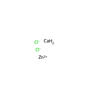 [CaH2].[Cl-].[Cl-].[Zn+2]